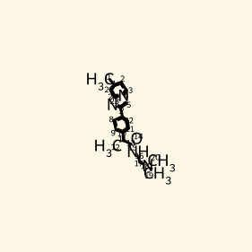 Cc1ccn2cc(-c3ccc(C(C)C(=O)NCCN(C)C)cc3)nc2c1